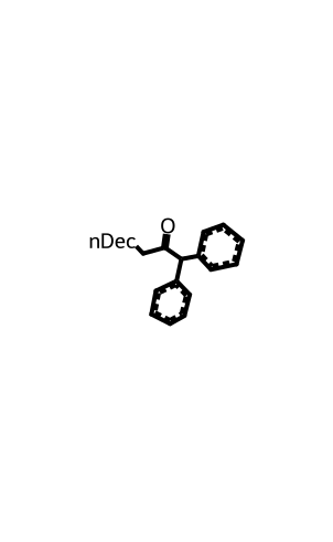 CCCCCCCCCCCC(=O)C(c1ccccc1)c1ccccc1